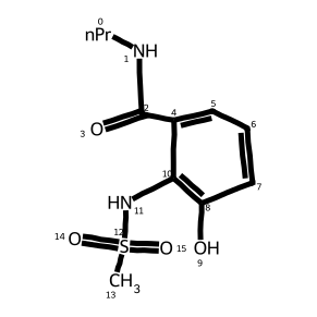 CCCNC(=O)c1cccc(O)c1NS(C)(=O)=O